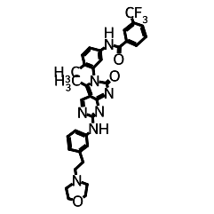 Cc1ccc(NC(=O)c2cccc(C(F)(F)F)c2)cc1-n1c(C)c2cnc(Nc3cccc(CCN4CCOCC4)c3)nc2nc1=O